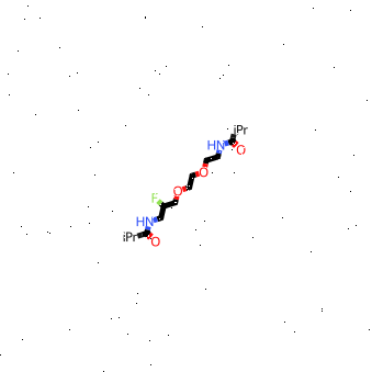 CC(C)C(=O)NCCOCCOCC(F)CNC(=O)C(C)C